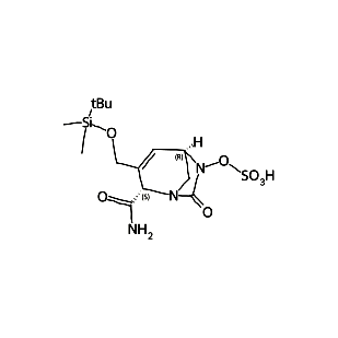 CC(C)(C)[Si](C)(C)OCC1=C[C@@H]2CN(C(=O)N2OS(=O)(=O)O)[C@@H]1C(N)=O